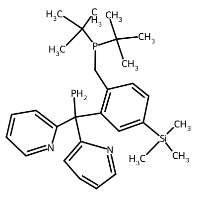 CC(C)(C)P(Cc1ccc([Si](C)(C)C)cc1C(P)(c1ccccn1)c1ccccn1)C(C)(C)C